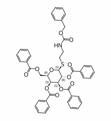 O=C(NCCS[C@@H]1O[C@H](COC(=O)c2ccccc2)[C@H](OC(=O)c2ccccc2)[C@H](OC(=O)c2ccccc2)[C@H]1OC(=O)c1ccccc1)OCc1ccccc1